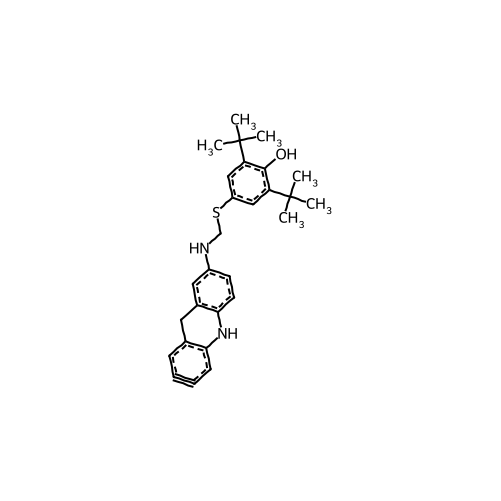 CC(C)(C)c1cc(SCNc2ccc3c(c2)Cc2cc#ccc2N3)cc(C(C)(C)C)c1O